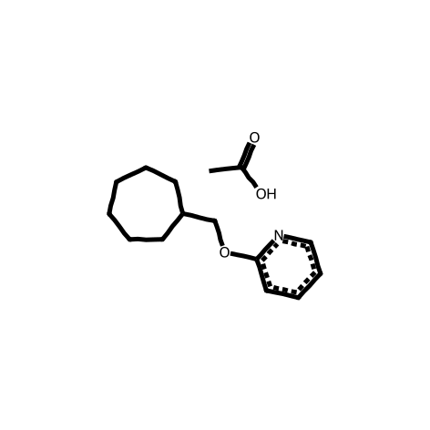 CC(=O)O.c1ccc(OCC2CCCCCC2)nc1